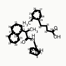 CC(C(=O)Nc1cc2ccc1CN2)c1cccc2ccccc12.Cc1ccccc1CCCC(=O)O